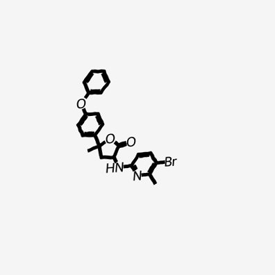 Cc1nc(NC2CC(C)(c3ccc(Oc4ccccc4)cc3)OC2=O)ccc1Br